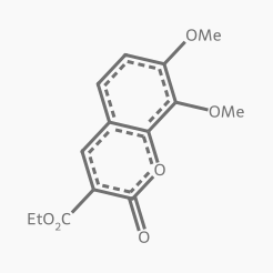 CCOC(=O)c1cc2ccc(OC)c(OC)c2oc1=O